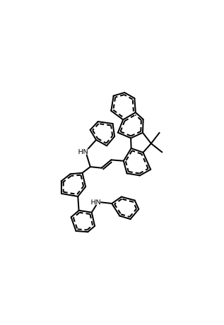 CC1(C)c2cc3ccccc3cc2-c2c(/C=C/C(Nc3ccccc3)c3cccc(-c4ccccc4Nc4ccccc4)c3)cccc21